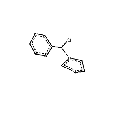 ClC(c1ccccc1)n1ccnc1